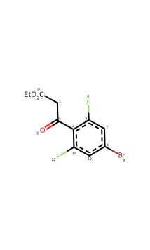 CCOC(=O)CC(=O)c1c(F)cc(Br)cc1F